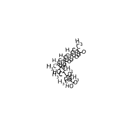 CC(C)C(=O)O.CC(C)C(=O)O.CC(C)C(=O)O.CC(C)C(=O)O.CC(C)C(=O)O.CC(C)C(=O)O